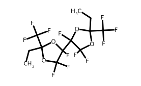 CCC1(C(F)(F)F)OC(F)(F)C(F)(C2(F)OC(CC)(C(F)(F)F)OC2(F)F)O1